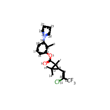 Cc1c(OC(=O)C2(C)C(C=C(Cl)C(F)(F)F)C2(C)C)cccc1-n1cccc1